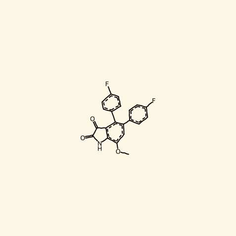 COc1cc(-c2ccc(F)cc2)c(-c2ccc(F)cc2)c2c1NC(=O)C2=O